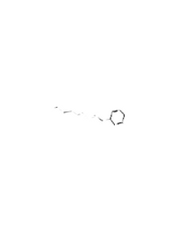 CCCCCCO/N=[C]/c1cccc(Cl)c1